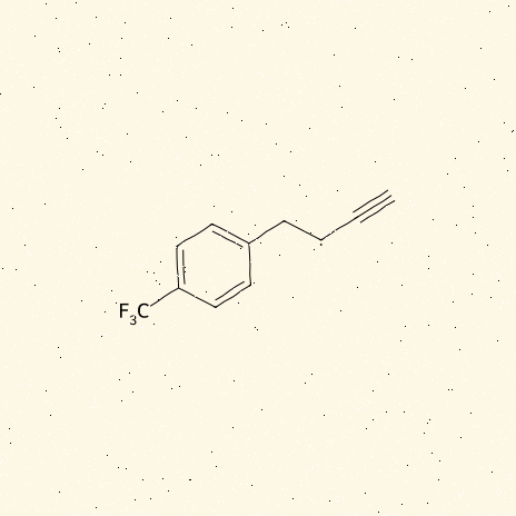 C#C[CH]Cc1ccc(C(F)(F)F)cc1